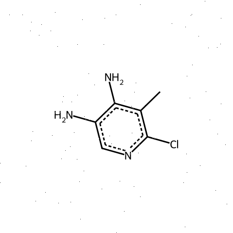 Cc1c(Cl)ncc(N)c1N